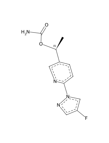 C[C@H](OC(N)=O)c1ccc(-n2cc(F)cn2)nc1